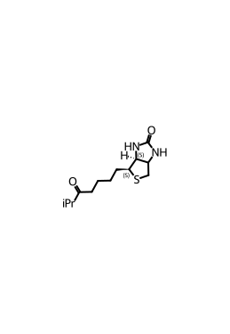 CC(C)C(=O)CCCC[C@@H]1SCC2NC(=O)N[C@@H]21